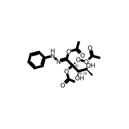 CC(=O)OO[C@](OC(C)=O)(C(=NNc1ccccc1)OC(C)=O)[C@@H](O)[C@H](C)O